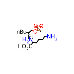 CCCCC(CC)COS(C)(=O)=O.NCCCCC(N)C(=O)O